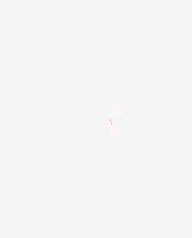 CCOC(=O)CCCCCl